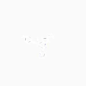 O=[N+]([O-])c1cc2c(NCc3ccc(F)cc3)nc(-n3ccnc3)nc2s1